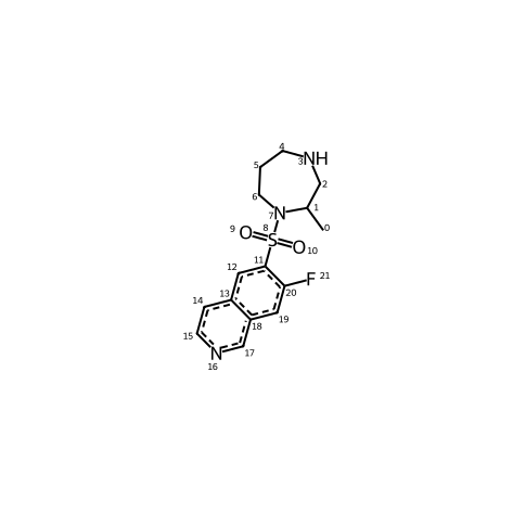 CC1CNCCCN1S(=O)(=O)c1cc2ccncc2cc1F